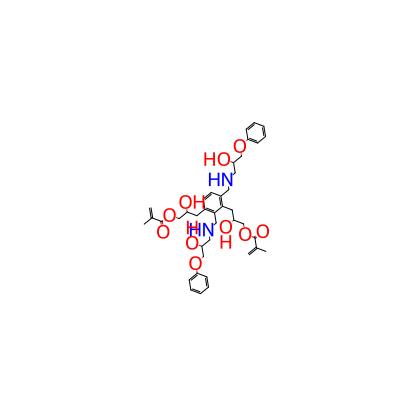 C=C(C)C(=O)OCC(O)Cc1ccc(CNCC(O)COc2ccccc2)c(CC(O)COC(=O)C(=C)C)c1CNCC(O)COc1ccccc1